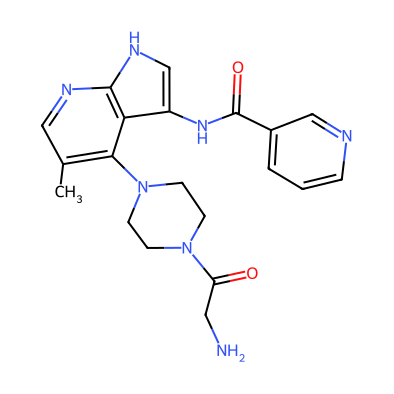 Cc1cnc2[nH]cc(NC(=O)c3cccnc3)c2c1N1CCN(C(=O)CN)CC1